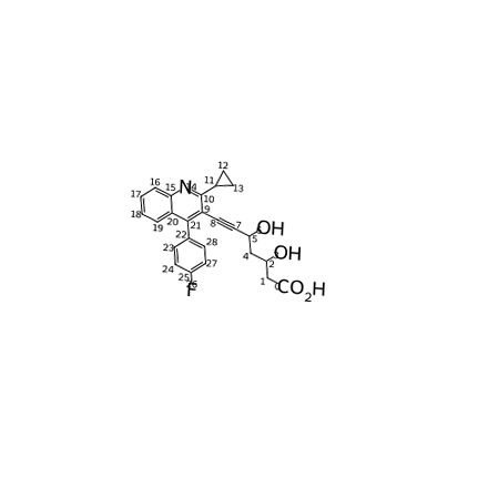 O=C(O)CC(O)CC(O)C#Cc1c(C2CC2)nc2ccccc2c1-c1ccc(F)cc1